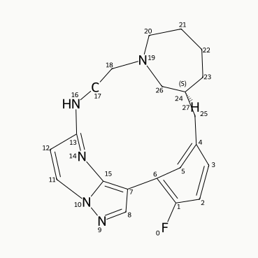 Fc1ccc2cc1-c1cnn3ccc(nc13)NCCN1CCCC[C@@H](C2)C1